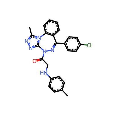 Cc1ccc(NCC(=O)N2N=C(c3ccc(Cl)cc3)c3ccccc3-n3c(C)nnc32)cc1